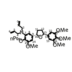 C=CCN(CC=C)c1cc([C@@H]2CC[C@@H](c3cc(OC)c(OC)c(OC)c3)O2)cc(OC)c1OCCC